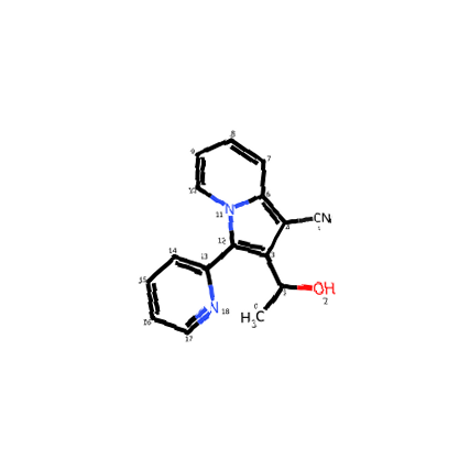 CC(O)c1c(C#N)c2ccccn2c1-c1ccccn1